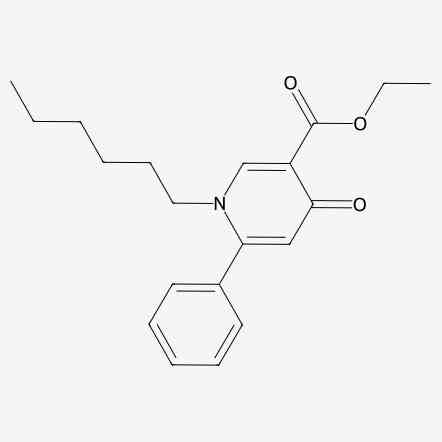 CCCCCCn1cc(C(=O)OCC)c(=O)cc1-c1ccccc1